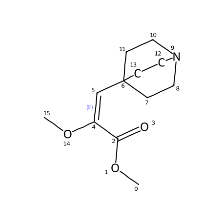 COC(=O)/C(=C\C12CCN(CC1)CC2)OC